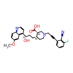 COc1ccc2nccc([C@@H](O)CC[C@@H]3CCN(CC#Cc4cccc(F)c4C#N)C[C@@H]3C(=O)O)c2c1